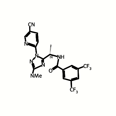 CNc1nc([C@H](C)NC(=O)c2cc(C(F)(F)F)cc(C(F)(F)F)c2)n(-c2ccc(C#N)cn2)n1